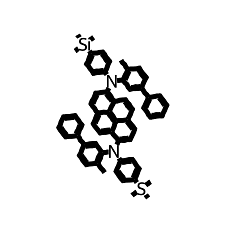 Cc1ccc(-c2ccccc2)cc1N(c1ccc([Si](C)(C)C)cc1)c1ccc2ccc3c(N(c4ccc(S(C)(C)C)cc4)c4cc(-c5ccccc5)ccc4C)ccc4ccc1c2c43